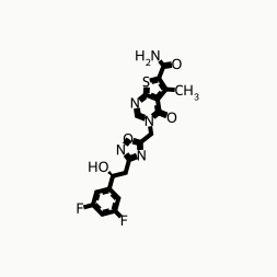 Cc1c(C(N)=O)sc2ncn(Cc3nc(C[C@H](O)c4cc(F)cc(F)c4)no3)c(=O)c12